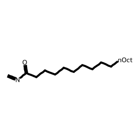 C=NC(=O)CCCCCCCCCCCCCCCCC